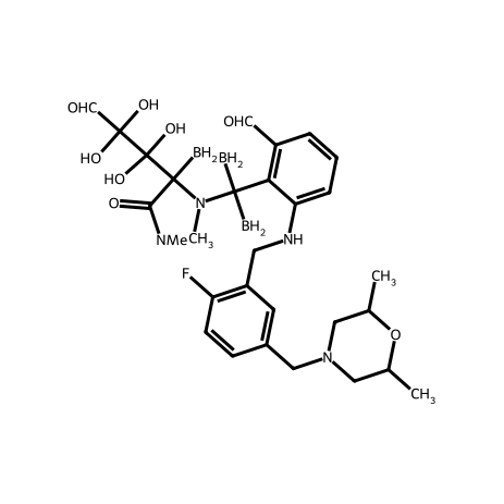 BC(B)(c1c(C=O)cccc1NCc1cc(CN2CC(C)OC(C)C2)ccc1F)N(C)C(B)(C(=O)NC)C(O)(O)C(O)(O)C=O